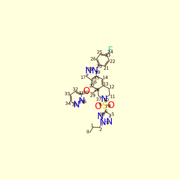 CCCn1ncc(S(=O)(=O)N2CCC3=Cc4c(cnn4-c4ccc(F)cc4)CC3(COc3cccnn3)C2)n1